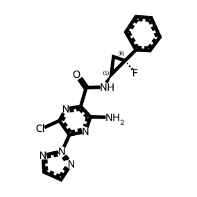 Nc1nc(-n2nccn2)c(Cl)nc1C(=O)N[C@H]1C[C@@]1(F)c1ccccc1